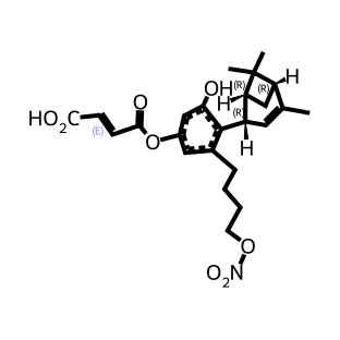 CC1=C[C@H](c2c(O)cc(OC(=O)/C=C/C(=O)O)cc2CCCCO[N+](=O)[O-])[C@H]2C[C@@H]1C2(C)C